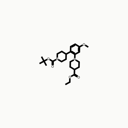 CCOC(=O)C1CCN(c2cc(OC)ccc2C2CCN(C(=O)OC(C)(C)C)CC2)CC1